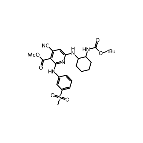 COC(=O)c1c(C#N)cc(NC2CCCCC2NC(=O)OC(C)(C)C)nc1Nc1cccc(S(C)(=O)=O)c1